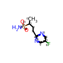 CC(CCc1ncc(F)cn1)S(N)(=O)=O